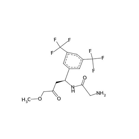 COCC(=O)C[C@H](NC(=O)CN)c1cc(C(F)(F)F)cc(C(F)(F)F)c1